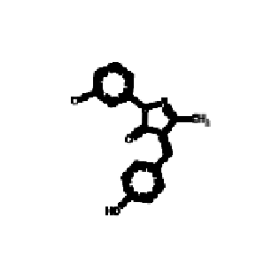 CC1=NN(c2cccc(Cl)c2)C(=O)C1=Cc1ccc(O)cc1